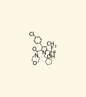 Cc1c(-c2ccc(Cl)cc2)c(C(=O)N2CCOCC2)n(CC2(O)CCCC2)c1C(F)(F)F